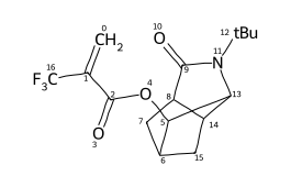 C=C(C(=O)OC1C2CC3C(=O)N(C(C)(C)C)C1C3C2)C(F)(F)F